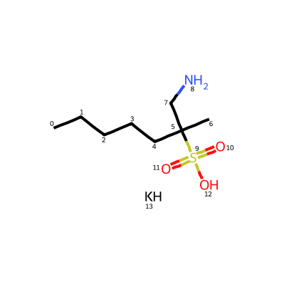 CCCCCC(C)(CN)S(=O)(=O)O.[KH]